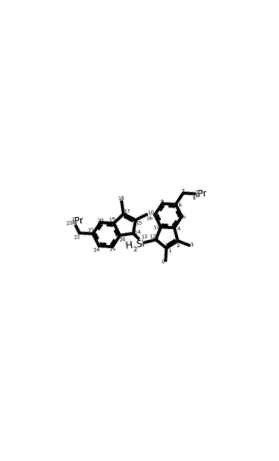 CC1=C(C)c2cc(CC(C)C)ccc2[C]1[SiH2][C]1C(C)=C(C)c2cc(CC(C)C)ccc21